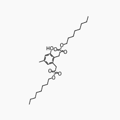 CCCCCCCCOS(=O)(=O)Cc1cc(C)cc(O)c1CS(=O)(=O)OCCCCCCCC